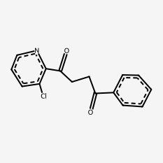 O=C(CCC(=O)c1ncccc1Cl)c1ccccc1